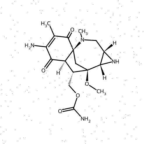 CO[C@]12C[C@]3(C(=O)C(C)=C(N)C(=O)[C@@H]3[C@H]1COC(N)=O)N(C)C[C@@H]1N[C@@H]12